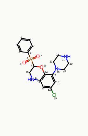 O=S(=O)(c1ccccc1)C1CNc2cc(Cl)cc(N3CCNCC3)c2O1